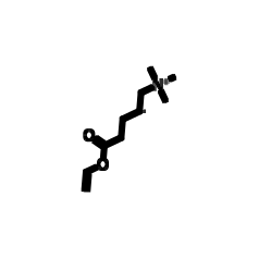 C=COC(=O)CC[CH]C[N+](C)(C)C